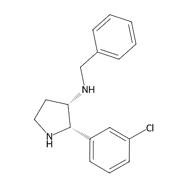 Clc1cccc([C@@H]2NCC[C@@H]2NCc2ccccc2)c1